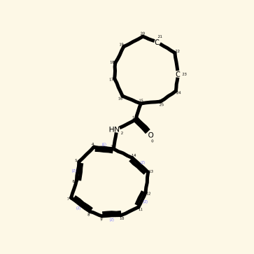 O=C(NC1=C/C=C\C=C/C=C\C=C/C=C\1)C1CCCCCCCCCC1